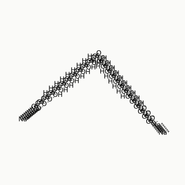 O=S(O)O.O=S(O)O.O=S(O)O.O=S(O)O.O=S(O)O.O=S(O)O.O=S(O)O.O=S(O)O.O=S(O)O.O=S(O)O.O=S(O)O.O=S(O)O.O=S(O)O.O=S(O)O.O=S(O)O.O=S(O)O.O=S(O)O.O=S([O-])O.O=S([O-])[O-].O=S([O-])[O-].O=S([O-])[O-].O=S([O-])[O-].O=S([O-])[O-].O=S([O-])[O-].O=S([O-])[O-].[Na+].[Na+].[Na+].[Na+].[Na+].[Na+].[Na+].[Na+].[Na+].[Na+].[Na+].[Na+].[Na+].[Na+].[Na+]